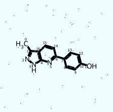 Cc1n[nH]c2nc(-c3ccc(O)cc3)c[c]c12